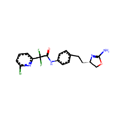 NC1=N[C@@H](CCc2ccc(NC(=O)C(F)(F)c3cccc(Br)n3)cc2)CO1